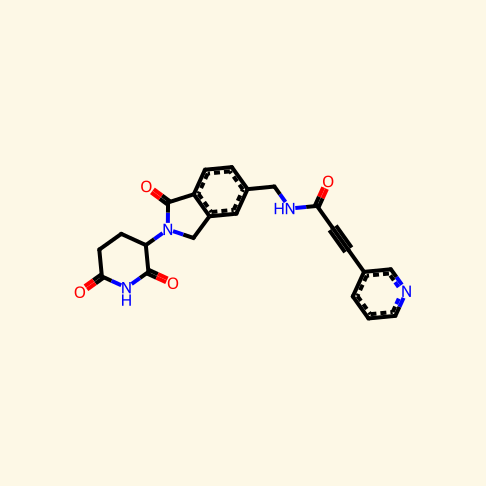 O=C(C#Cc1cccnc1)NCc1ccc2c(c1)CN(C1CCC(=O)NC1=O)C2=O